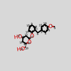 COc1ccc(Cc2ccccc2O[C@H]2C[C@@H](O)C[C@@H](CO)O2)cc1